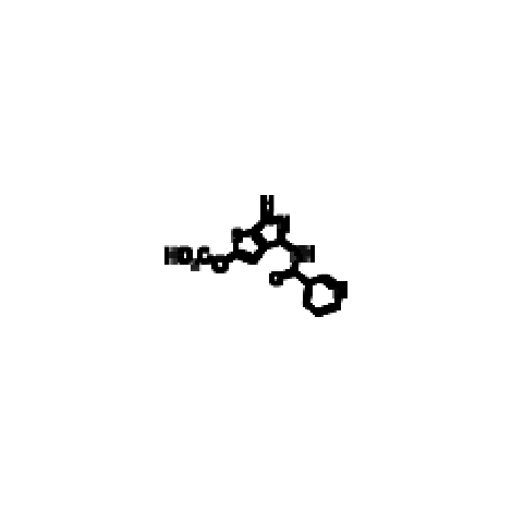 O=C(O)Oc1cc2c(NC(=O)c3cccnc3)n[nH]c2s1